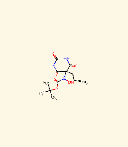 C=CCC1(N(O)C(=O)OC(C)(C)C)C(=O)NC(=O)NC1=O